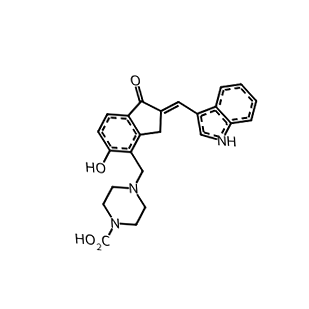 O=C1C(=Cc2c[nH]c3ccccc23)Cc2c1ccc(O)c2CN1CCN(C(=O)O)CC1